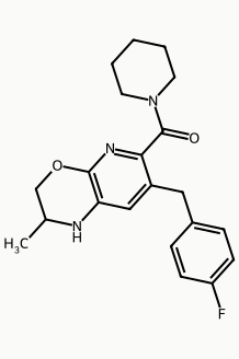 CC1COc2nc(C(=O)N3CCCCC3)c(Cc3ccc(F)cc3)cc2N1